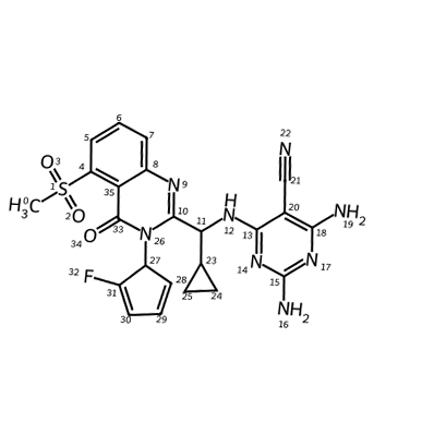 CS(=O)(=O)c1cccc2nc(C(Nc3nc(N)nc(N)c3C#N)C3CC3)n(C3C=CC=C3F)c(=O)c12